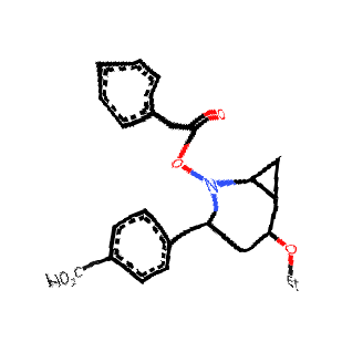 CCOC1CC(c2ccc(C(=O)O)cc2)N(OC(=O)c2ccccc2)C2CC12